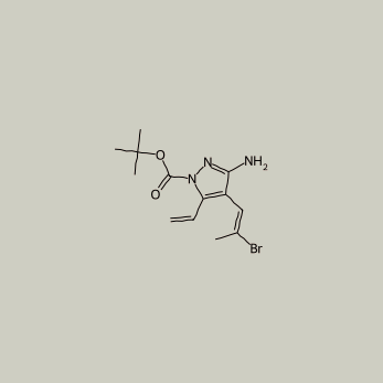 C=Cc1c(/C=C(\C)Br)c(N)nn1C(=O)OC(C)(C)C